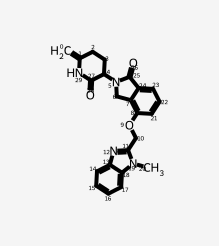 C=C1CCC(N2Cc3c(OCc4nc5ccccc5n4C)cccc3C2=O)C(=O)N1